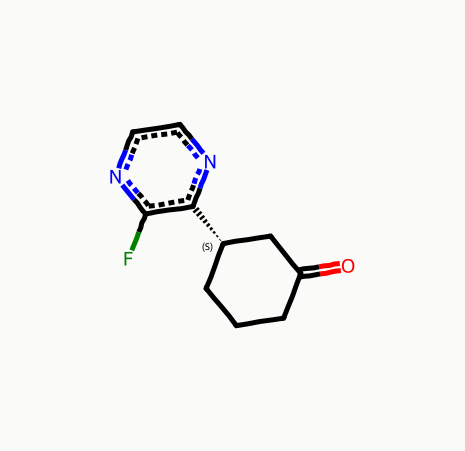 O=C1CCC[C@H](c2nccnc2F)C1